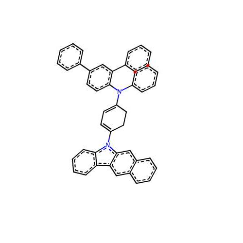 C1=C(N(c2ccccc2)c2ccc(-c3ccccc3)cc2-c2ccccc2)CCC(n2c3ccccc3c3cc4ccccc4cc32)=C1